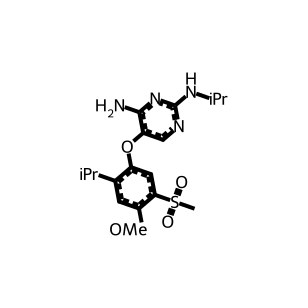 COc1cc(C(C)C)c(Oc2cnc(NC(C)C)nc2N)cc1S(C)(=O)=O